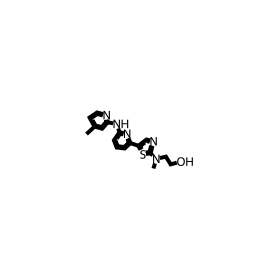 Cc1ccnc(Nc2cccc(-c3cnc(N(C)CCO)s3)n2)c1